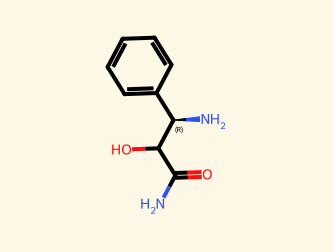 NC(=O)C(O)[C@H](N)c1ccccc1